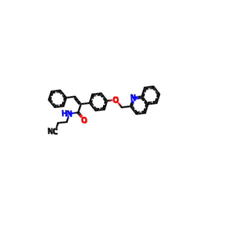 N#CCCNC(=O)C(=Cc1ccccc1)c1ccc(OCc2ccc3ccccc3n2)cc1